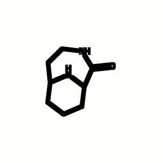 O=C1NCCC2CCCC1N2